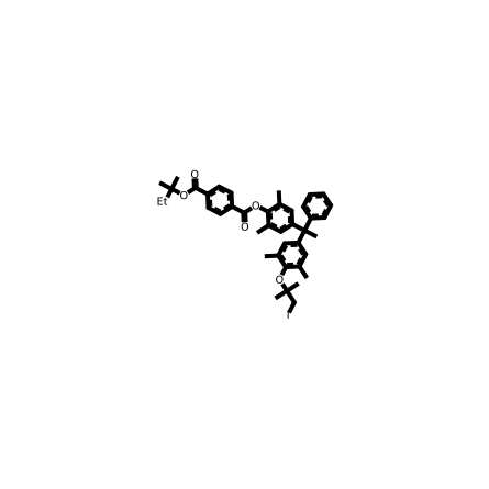 CCC(C)(C)OC(=O)c1ccc(C(=O)Oc2c(C)cc(C(C)(c3ccccc3)c3cc(C)c(OC(C)(C)CI)c(C)c3)cc2C)cc1